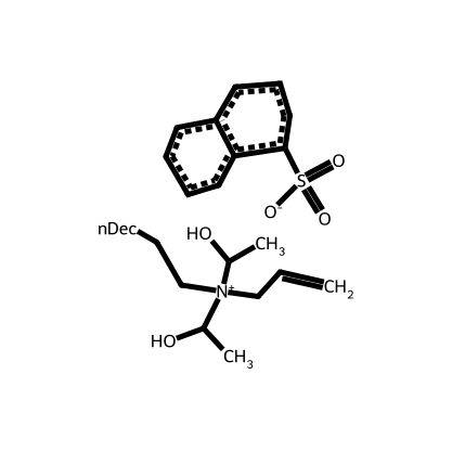 C=CC[N+](CCCCCCCCCCCC)(C(C)O)C(C)O.O=S(=O)([O-])c1cccc2ccccc12